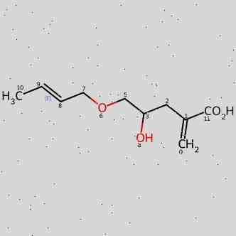 C=C(CC(O)COC/C=C/C)C(=O)O